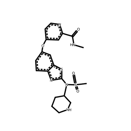 CNC(=O)c1cc(Oc2ccc3nc(N(C4CCCNC4)S(C)(=O)=O)sc3c2)ccn1